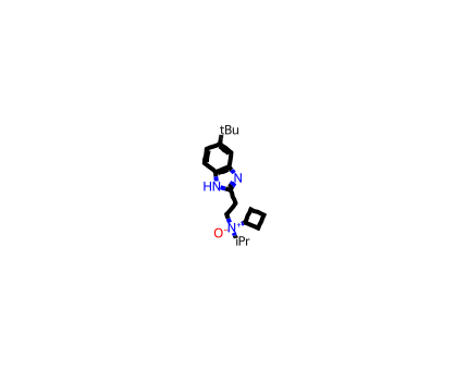 CC(C)[N+]([O-])(CCc1nc2cc(C(C)(C)C)ccc2[nH]1)C1CCC1